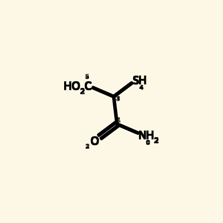 NC(=O)C(S)C(=O)O